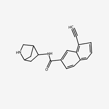 C#Cc1cccc2ccc(C(=O)NC3CC4CC3CN4)cc12